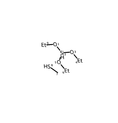 CCO[SiH](OCC)OCC.CS